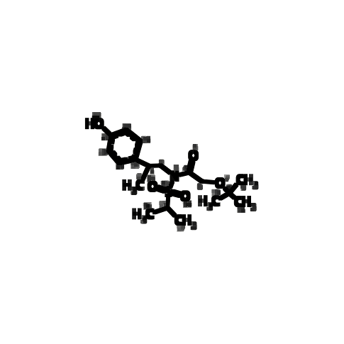 CC(CN(C(=O)COC(C)(C)C)S(=O)(=O)C(C)C)c1ccc(O)cc1